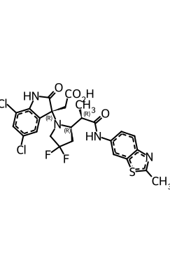 Cc1nc2ccc(NC(=O)[C@H](C)[C@H]3CC(F)(F)CN3[C@@]3(CC(=O)O)C(=O)Nc4c(Cl)cc(Cl)cc43)cc2s1